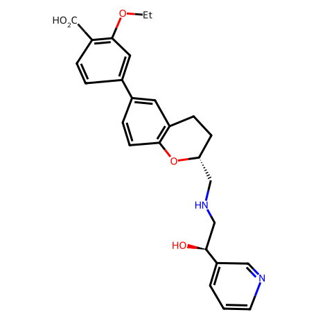 CCOc1cc(-c2ccc3c(c2)CC[C@H](CNC[C@H](O)c2cccnc2)O3)ccc1C(=O)O